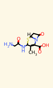 CC1=C(C(=O)O)N2C(=O)C[C@H]2SC1NC(=O)CN